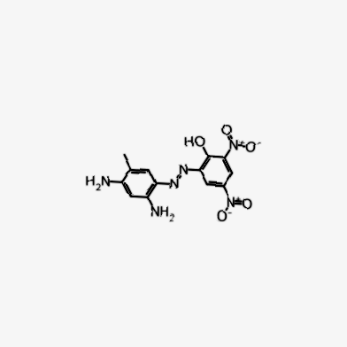 Cc1cc(/N=N/c2cc([N+](=O)[O-])cc([N+](=O)[O-])c2O)c(N)cc1N